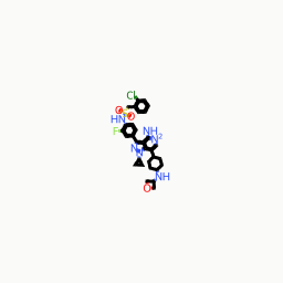 Nc1ncc(C2CCC(NC3COC3)CC2)c2c1c(-c1ccc(NS(=O)(=O)Cc3ccccc3Cl)c(F)c1)nn2C1CC1